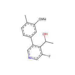 COc1cc(-c2cncc(F)c2C(C)O)ccc1C